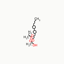 C=C(C)C(=O)OC(CCOC(=O)C(=C)CO)CC1CCC(C2CCC(CCCCC)CC2)CC1